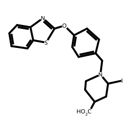 O=C(O)C1CCN(Cc2ccc(Oc3nc4ccccc4s3)cc2)C(I)C1